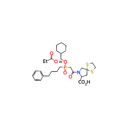 CCC(=O)O[C@@H](OP(=O)(CCCCc1ccccc1)CC(=O)N1CC2(CC1C(=O)O)SCCS2)C1CCCCC1